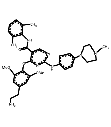 COc1cc(CCN)cc(OC)c1Oc1nc(Nc2ccc(N3CCN(C)CC3)cc2)ncc1C(=O)Nc1c(C)cccc1C